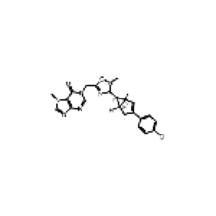 CN1OC(Cn2cnc3ncn(C)c3c2=O)=NC1[C@H]1[C@@H]2C=C(c3ccc(Cl)cc3)C[C@@H]21